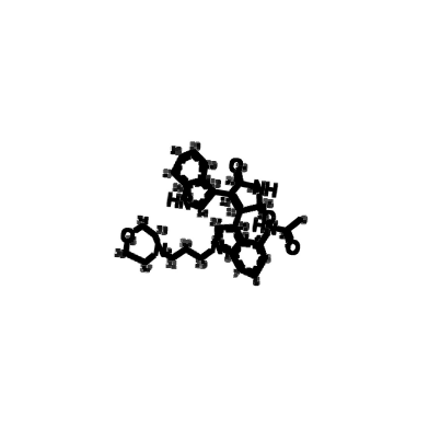 CC(=O)Nc1cccc2c1c(C1=C(c3c[nH]c4ccccc34)C(=O)NC1=O)cn2CCCN1CCOCC1